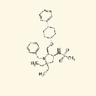 CCC1(CC)C[C@H](NS(C)(=O)=O)[C@H](CO[C@H]2CC[C@@H](c3ccccc3)CC2)N1Cc1ccccc1